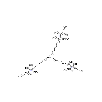 CC(=O)N/C(=C(/O)[C@@H](O)CCO)[C@@H](O)OCCCCCOCC(C)(COCCCCCO[C@H](O)/C(NC(C)=O)=C(\O)[C@@H](O)CCO)COCCCCCO[C@H](O)/C(NC(C)=O)=C(\O)[C@@H](O)CCO